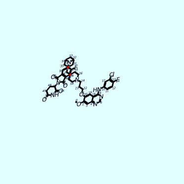 COc1cc2ncnc(Nc3ccc(F)c(Cl)c3)c2cc1OCCCN1CCC(CN2CC3CC(C2)N3c2cc3c(cc2F)C(=O)N(C2CCC(=O)NC2=O)C3=O)CC1